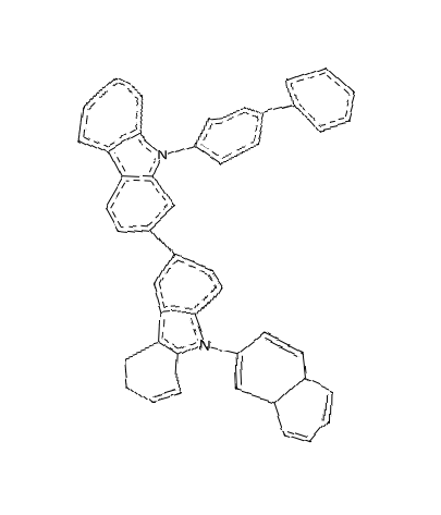 C1=CC2C=CC(n3c4c(c5cc(-c6ccc7c8ccccc8n(-c8ccc(-c9ccccc9)cc8)c7c6)ccc53)CCC=C4)=CC2C=C1